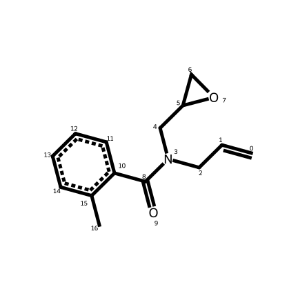 C=CCN(CC1CO1)C(=O)c1ccccc1C